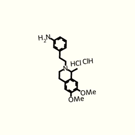 COc1cc2c(cc1OC)C(C)N(CCc1cccc(N)c1)CC2.Cl.Cl